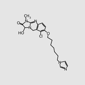 CN1C(=O)C(O)N2Cc3c(ccc(OCCCCCCCn4ccnc4)c3Cl)N=C12